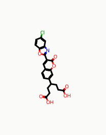 O=C(O)CCC(CCC(=O)O)c1ccc2cc(-c3nc4cc(Cl)ccc4o3)c(=O)oc2c1